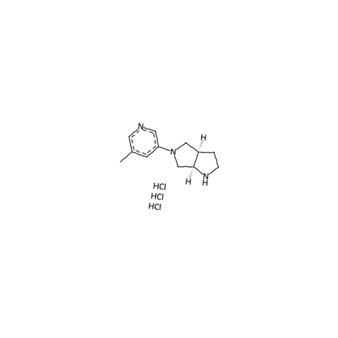 Cc1cncc(N2C[C@H]3CCN[C@H]3C2)c1.Cl.Cl.Cl